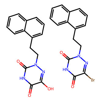 O=c1[nH]c(=O)n(CCc2cccc3ccccc23)nc1Br.O=c1[nH]c(=O)n(CCc2cccc3ccccc23)nc1O